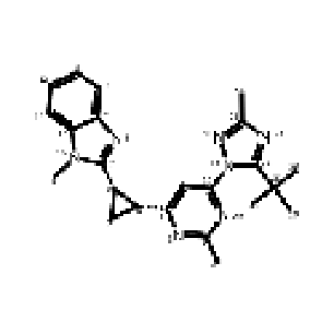 Cc1nc([C@@H]2C[C@H]2c2nc3ccccc3n2C)cc(-n2nc(C)nc2C(C)(C)C)n1